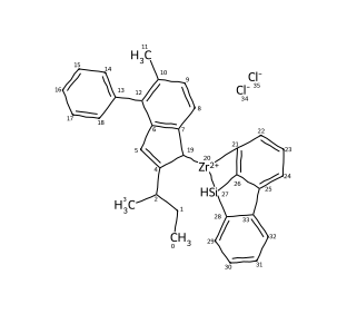 CCC(C)C1=Cc2c(ccc(C)c2-c2ccccc2)[CH]1[Zr+2]1[c]2cccc3c2[SiH]1c1ccccc1-3.[Cl-].[Cl-]